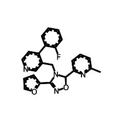 Cc1cccc(C2ON=C(c3ccco3)N2Cc2cnccc2-c2ccccc2F)n1